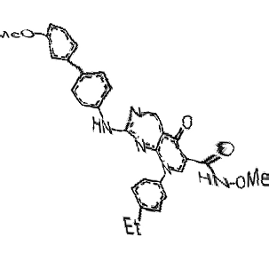 CCc1ccc(-n2cc(C(=O)NOC)c(=O)c3cnc(Nc4ccc(-c5cccc(OC)c5)cc4)nc32)cc1